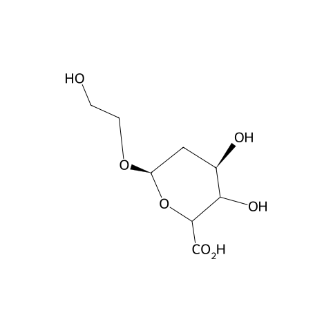 O=C(O)C1O[C@@H](OCCO)C[C@@H](O)C1O